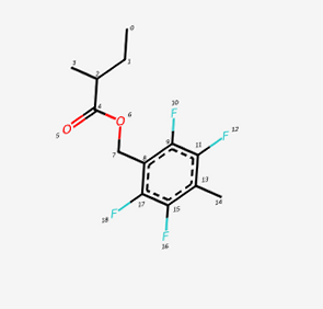 CCC(C)C(=O)OCc1c(F)c(F)c(C)c(F)c1F